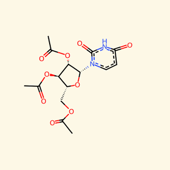 CC(=O)OC[C@H]1O[C@@H](n2ccc(=O)[nH]c2=O)[C@@H](OC(C)=O)[C@@H]1OC(C)=O